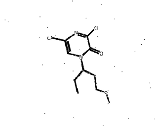 CCC(CCOC)n1cc(Cl)nc(Cl)c1=O